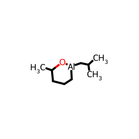 CC(C)[CH2][Al]1[CH2]CCC(C)[O]1